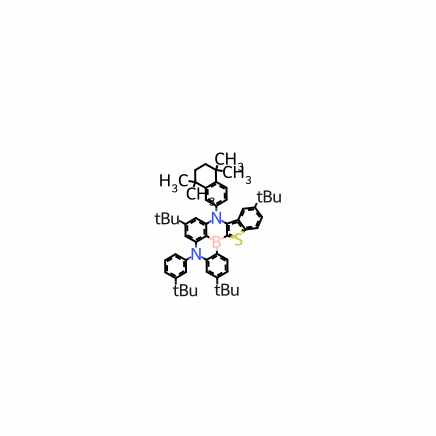 CC(C)(C)c1cccc(N2c3cc(C(C)(C)C)ccc3B3c4sc5ccc(C(C)(C)C)cc5c4N(c4ccc5c(c4)C(C)(C)CCC5(C)C)c4cc(C(C)(C)C)cc2c43)c1